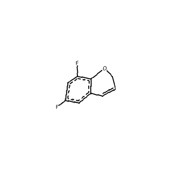 Fc1cc(F)c2c(c1)C=CCO2